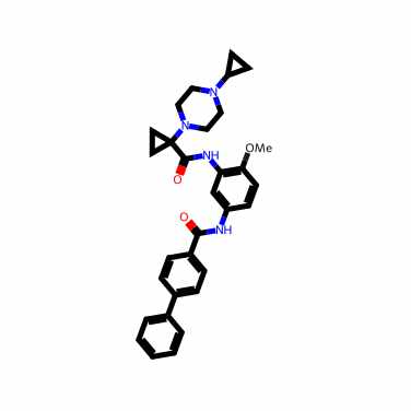 COc1ccc(NC(=O)c2ccc(-c3ccccc3)cc2)cc1NC(=O)C1(N2CCN(C3CC3)CC2)CC1